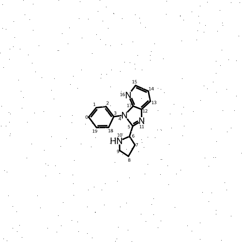 c1ccc(-n2c(C3CCCN3)nc3cccnc32)cc1